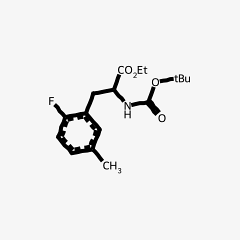 CCOC(=O)C(Cc1cc(C)ccc1F)NC(=O)OC(C)(C)C